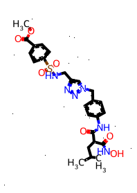 COC(=O)c1ccc(S(=O)(=O)NCc2cn(Cc3ccc(NC(=O)C(CC(C)C)C(=O)NO)cc3)nn2)cc1